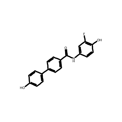 O=C(Nc1ccc(O)c(F)c1)c1ccc(-c2ccc(O)cc2)cc1